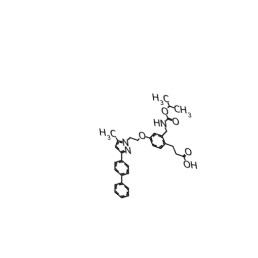 Cc1cc(-c2ccc(-c3ccccc3)cc2)nn1CCOc1ccc(CCC(=O)O)c(CNC(=O)OC(C)C)c1